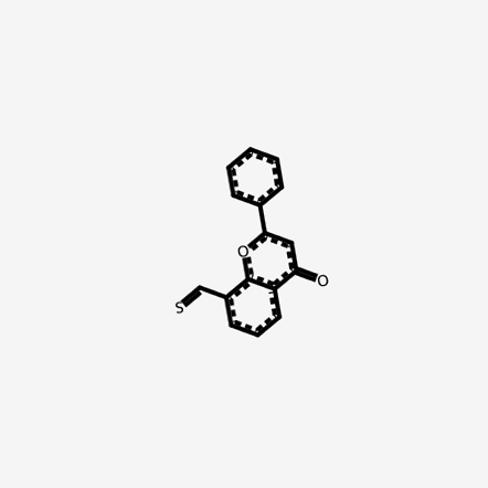 O=c1cc(-c2ccccc2)oc2c(C=S)cccc12